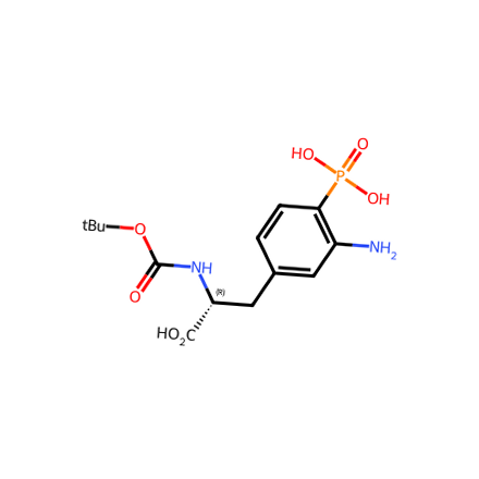 CC(C)(C)OC(=O)N[C@H](Cc1ccc(P(=O)(O)O)c(N)c1)C(=O)O